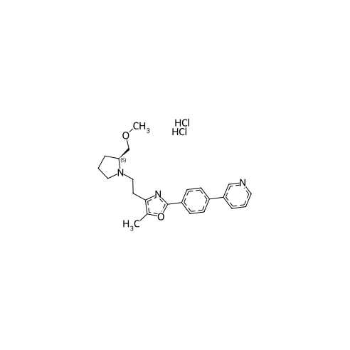 COC[C@@H]1CCCN1CCc1nc(-c2ccc(-c3cccnc3)cc2)oc1C.Cl.Cl